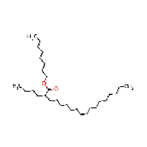 CCCCCCCC/C=C\CCCCCCC(CCCC)C(=O)OCCCCCCCC